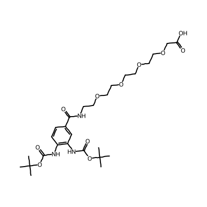 CC(C)(C)OC(=O)Nc1ccc(C(=O)NCCOCCOCCOCCOCC(=O)O)cc1NC(=O)OC(C)(C)C